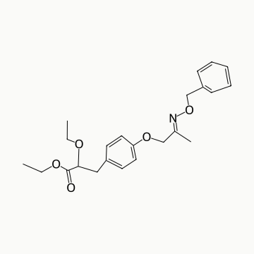 CCOC(=O)C(Cc1ccc(OCC(C)=NOCc2ccccc2)cc1)OCC